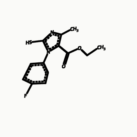 CCOC(=O)c1c(C)nc(S)n1-c1ccc(F)cc1